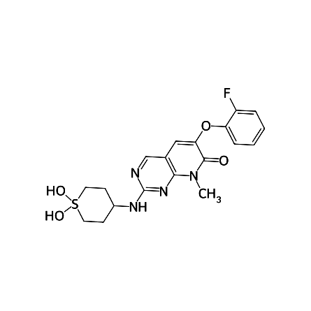 Cn1c(=O)c(Oc2ccccc2F)cc2cnc(NC3CCS(O)(O)CC3)nc21